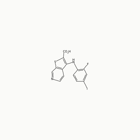 O=C(O)c1sc2cnccc2c1Nc1ccc(I)cc1F